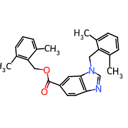 Cc1cccc(C)c1COC(=O)c1ccc2ncn(Cc3c(C)cccc3C)c2c1